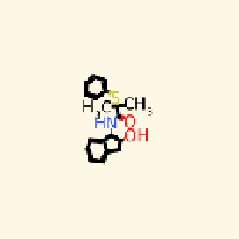 CC(C)(Sc1ccccc1)C(=O)N[C@@H]1c2ccccc2C[C@@H]1O